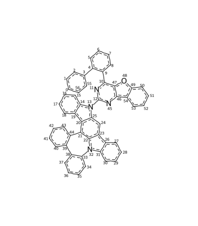 c1ccc(-c2ccccc2-c2nc(-n3c4ccccc4c4c5c6c(cc43)c3ccccc3n6-c3ccccc3-c3ccccc3-5)nc3c2oc2ccccc23)cc1